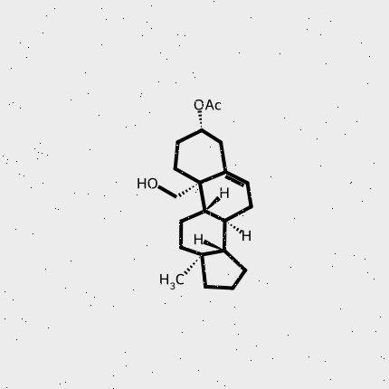 CC(=O)O[C@H]1CC[C@@]2(CO)C(=CC[C@H]3[C@@H]4CCC[C@@]4(C)CC[C@@H]32)C1